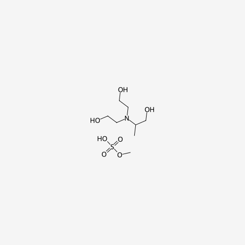 CC(CO)N(CCO)CCO.COS(=O)(=O)O